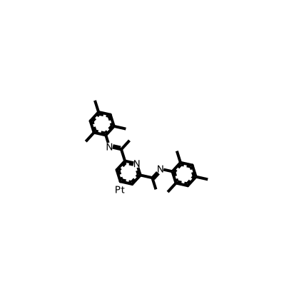 CC(=Nc1c(C)cc(C)cc1C)c1cccc(C(C)=Nc2c(C)cc(C)cc2C)n1.[Pt]